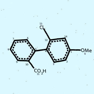 COc1ccc(-c2ccccc2C(=O)O)c(Cl)c1